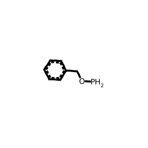 POCc1ccccc1